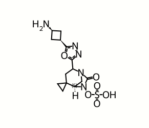 N[C@H]1C[C@@H](c2nnc(C3CC4(CC4)[C@H]4CN3C(=O)N4OS(=O)(=O)O)o2)C1